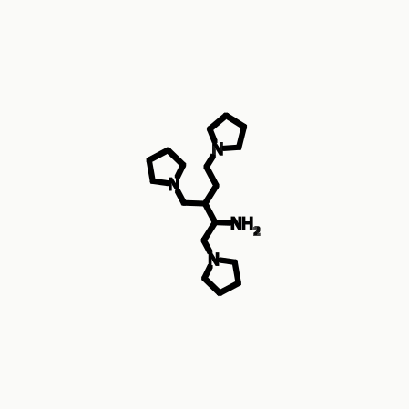 NC(CN1CCCC1)C(CCN1CCCC1)CN1CCCC1